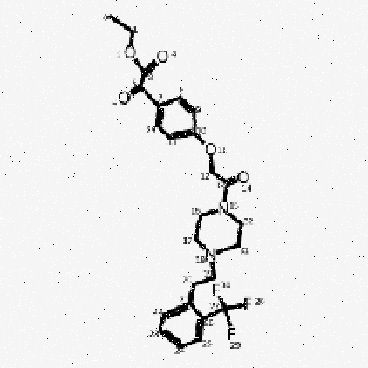 CCOC(=O)C(=O)c1ccc(OCC(=O)N2CCN(CCc3ccccc3C(F)(F)F)CC2)cc1